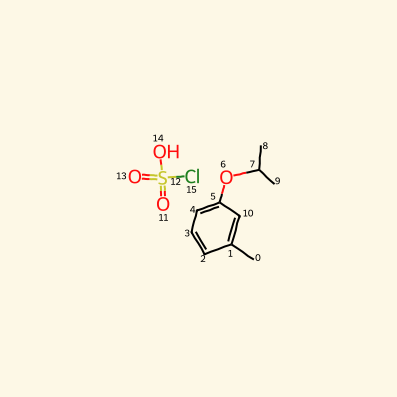 Cc1cccc(OC(C)C)c1.O=S(=O)(O)Cl